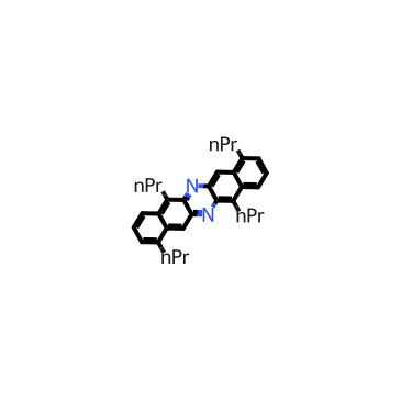 CCCc1cccc2c(CCC)c3nc4cc5c(CCC)cccc5c(CCC)c4nc3cc12